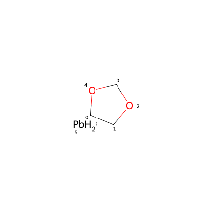 C1COCO1.[PbH2]